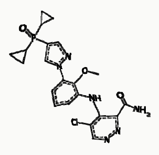 COc1c(Nc2c(Cl)cnnc2C(N)=O)cccc1-n1cc(P(=O)(C2CC2)C2CC2)cn1